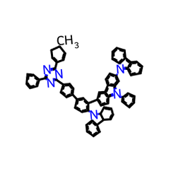 CC1C=CC(c2nc(-c3ccccc3)nc(-c3ccc(-c4ccc(N5c6ccccc6C6C=CC=CC65)c(-c5ccc6c(c5)c5ccc(-n7c8ccccc8c8ccccc87)cc5n6-c5ccccc5)c4)cc3)n2)=CC1